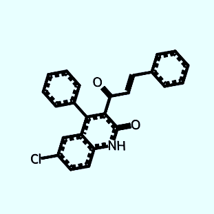 O=C(C=Cc1ccccc1)c1c(-c2ccccc2)c2cc(Cl)ccc2[nH]c1=O